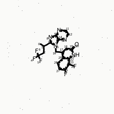 CC(CC(F)(F)F)c1nc2nccnc2n1Cc1cc(=O)[nH]c2c(F)c(F)ccc12